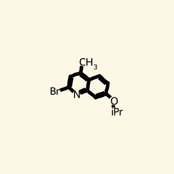 Cc1cc(Br)nc2cc(OC(C)C)ccc12